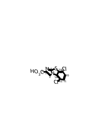 O=C(O)c1cn2c(n1)sc1c(Cl)ccc(Cl)c12